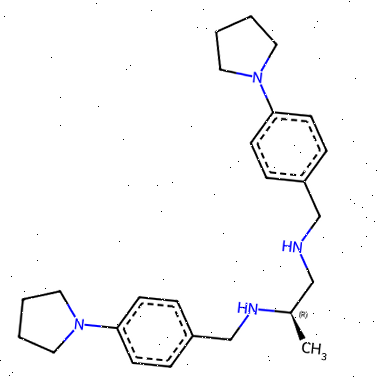 C[C@H](CNCc1ccc(N2CCCC2)cc1)NCc1ccc(N2CCCC2)cc1